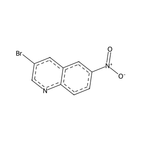 O=[N+]([O-])c1ccc2ncc(Br)cc2c1